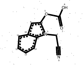 N#CCn1c(OC(=O)O)cc2ccccc21